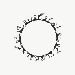 CC(C)C[C@H]1OC(=O)[C@H](C(C)C)NC(=O)[C@H](C(C)C)OC(=O)[C@@H](C)NC(=O)[C@@H](CC(C)C)OC(=O)[C@H](C(C)C)NC(=O)[C@H](C(C)C)OC(=O)[C@@H](C)NC(=O)[C@@H](CC(C)C)OC(=O)[C@H](C(C)C)NC(=O)[C@H](C(C)C)OC(=O)[C@@H](C)NC1=O